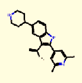 C=C(c1c(-c2cc(C)nc(C)c2)[nH]c2ccc(C3CCNCC3)cc12)C(F)(F)F